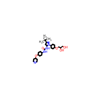 CC(C)(C)c1cc(NC(=O)Nc2ccc(Oc3ccncc3)cc2)n(-c2ccc(OCC(O)CO)cc2)n1